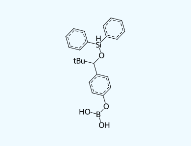 CC(C)(C)C(O[SiH](c1ccccc1)c1ccccc1)c1ccc(OB(O)O)cc1